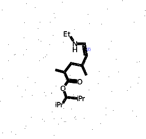 CCN/C=C\C(C)CC(C)C(=O)OC(C(C)C)C(C)C